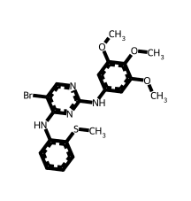 COc1cc(Nc2ncc(Br)c(Nc3ccccc3SC)n2)cc(OC)c1OC